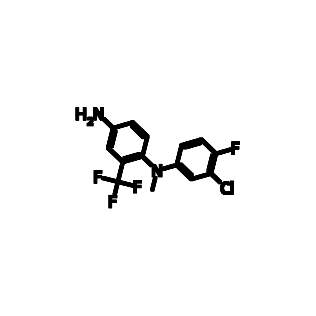 CN(c1ccc(F)c(Cl)c1)c1ccc(N)cc1C(F)(F)F